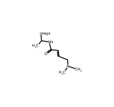 CCCCCCCC(C)NC(=O)/C=C/CN(C)C